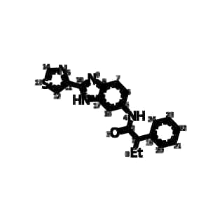 CCC(C(=O)Nc1ccc2nc(-c3cscn3)[nH]c2c1)c1ccccc1